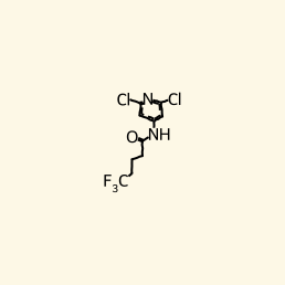 O=C(CCCC(F)(F)F)Nc1cc(Cl)nc(Cl)c1